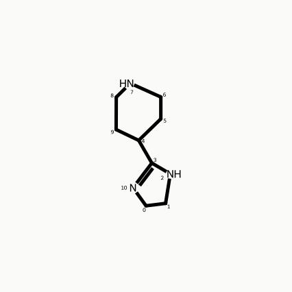 C1CNC(C2CCNCC2)=N1